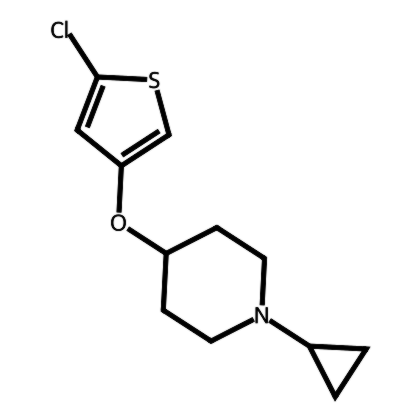 Clc1cc(OC2CCN(C3CC3)CC2)cs1